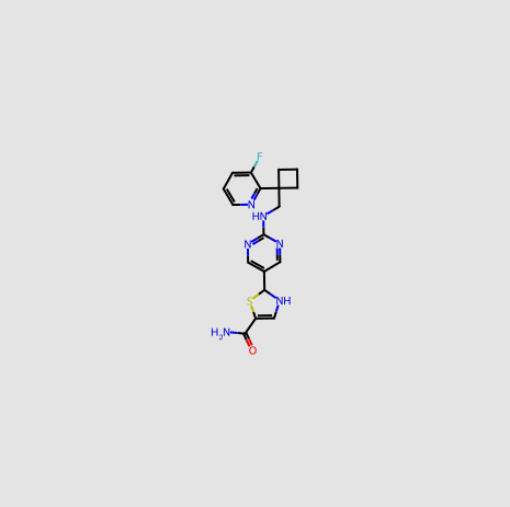 NC(=O)C1=CNC(c2cnc(NCC3(c4ncccc4F)CCC3)nc2)S1